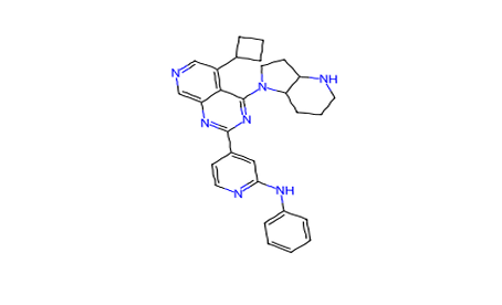 c1ccc(Nc2cc(-c3nc(N4CCC5NCCCC54)c4c(C5CCC5)cncc4n3)ccn2)cc1